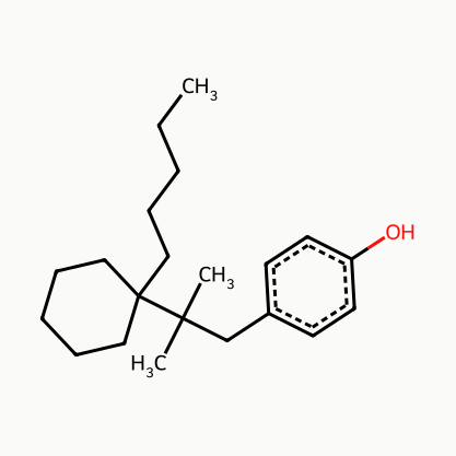 CCCCCC1(C(C)(C)Cc2ccc(O)cc2)CCCCC1